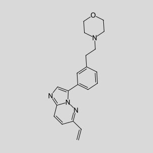 C=Cc1ccc2ncc(-c3cccc(CCN4CCOCC4)c3)n2n1